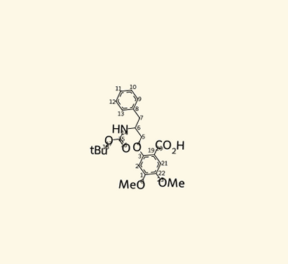 COc1cc(OCC(Cc2ccccc2)NC(=O)OC(C)(C)C)c(C(=O)O)cc1OC